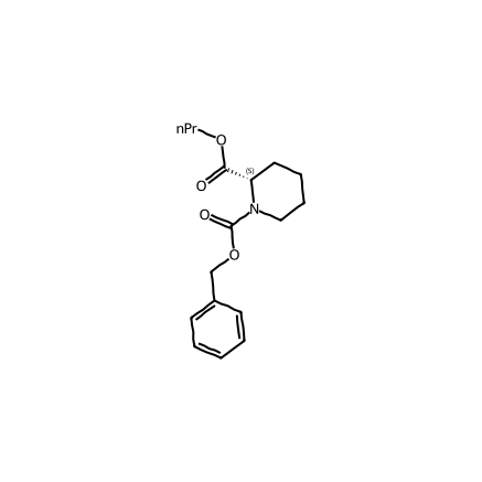 CCCOC(=O)[C@@H]1CCCCN1C(=O)OCc1ccccc1